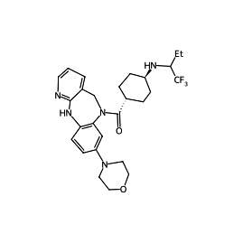 CCC(N[C@H]1CC[C@H](C(=O)N2Cc3cccnc3Nc3ccc(N4CCOCC4)cc32)CC1)C(F)(F)F